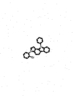 Brc1ccccc1-n1ccc2c1ccc1c3ccccc3n(-c3ccccc3)c12